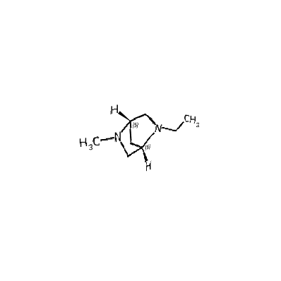 CCN1C[C@@H]2C[C@H]1CN2C